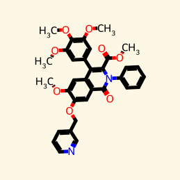 COC(=O)c1c(-c2cc(OC)c(OC)c(OC)c2)c2cc(OC)c(OCc3cccnc3)cc2c(=O)n1-c1ccccc1